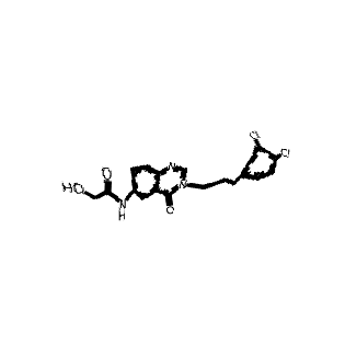 O=C(CO)Nc1ccc2ncn(CCCc3ccc(Cl)c(Cl)c3)c(=O)c2c1